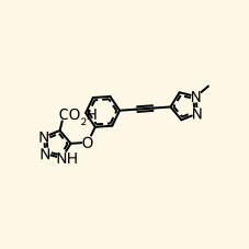 Cn1cc(C#Cc2cccc(Oc3[nH]nnc3C(=O)O)c2)cn1